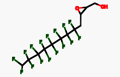 OCC1OC1CC(F)(F)C(F)(F)C(F)(F)C(F)(F)C(F)(F)C(F)(F)C(F)(F)C(F)F